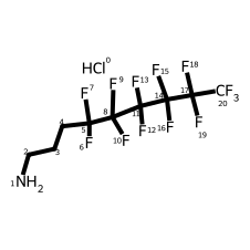 Cl.NCCCC(F)(F)C(F)(F)C(F)(F)C(F)(F)C(F)(F)C(F)(F)F